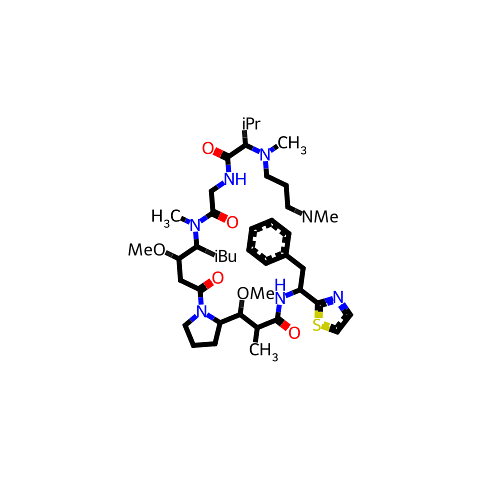 CCC(C)C(C(CC(=O)N1CCCC1C(OC)C(C)C(=O)NC(Cc1ccccc1)c1nccs1)OC)N(C)C(=O)CNC(=O)C(C(C)C)N(C)CCCNC